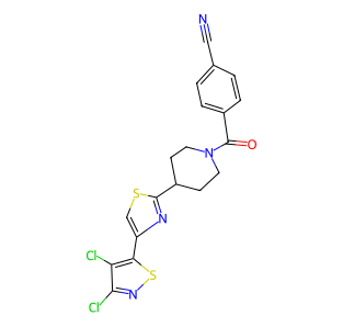 N#Cc1ccc(C(=O)N2CCC(c3nc(-c4snc(Cl)c4Cl)cs3)CC2)cc1